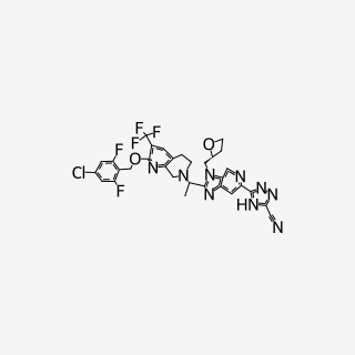 CC(c1nc2cc(-c3nnc(C#N)[nH]3)ncc2n1C[C@@H]1CCO1)N1CCc2cc(C(F)(F)F)c(OCc3c(F)cc(Cl)cc3F)nc2C1